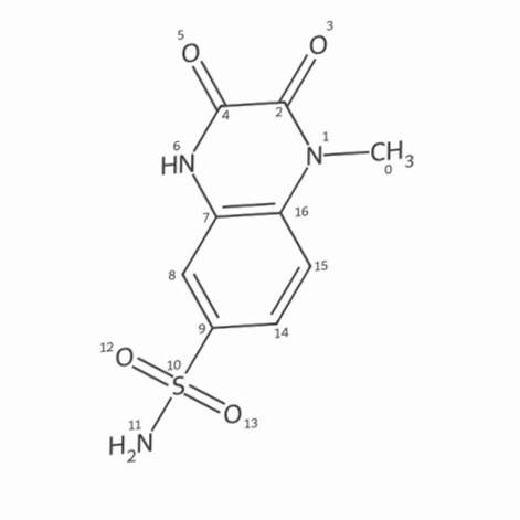 Cn1c(=O)c(=O)[nH]c2cc(S(N)(=O)=O)ccc21